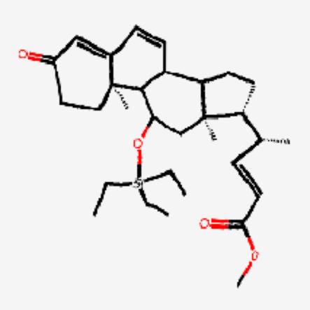 CC[Si](CC)(CC)OC1C[C@@]2(C)C(CC[C@@H]2[C@H](C)/C=C/C(=O)OC)C2C=CC3=CC(=O)CC[C@]3(C)C12